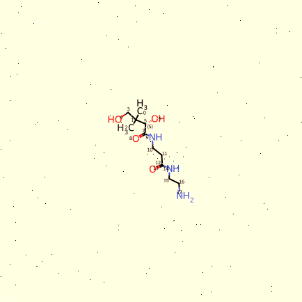 CC(C)(CO)[C@H](O)C(=O)NCCC(=O)NCCN